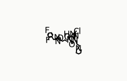 O=c1c2[nH]c(Cl)nc2n(CCCN2CCCCC2)c(=O)n1CCCc1nc(Cc2ccc(F)cc2F)no1